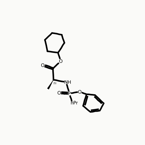 CCCP(=O)(N[C@@H](C)C(=O)OC1CCCCC1)Oc1ccccc1